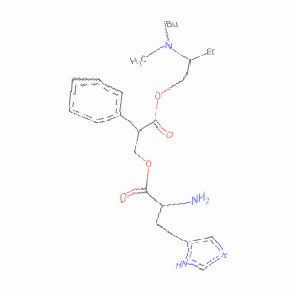 CCC(C)N(C)C(CC)COC(=O)C(COC(=O)C(N)Cc1cnc[nH]1)c1ccccc1